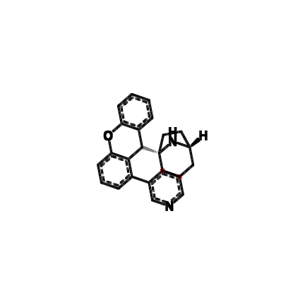 c1cncc(-c2cccc3c2C([C@]24CCC[C@@H](CC2)N4)c2ccccc2O3)c1